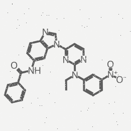 CCN(c1cccc([N+](=O)[O-])c1)c1nccc(-n2cnc3ccc(NC(=O)c4ccccc4)cc32)n1